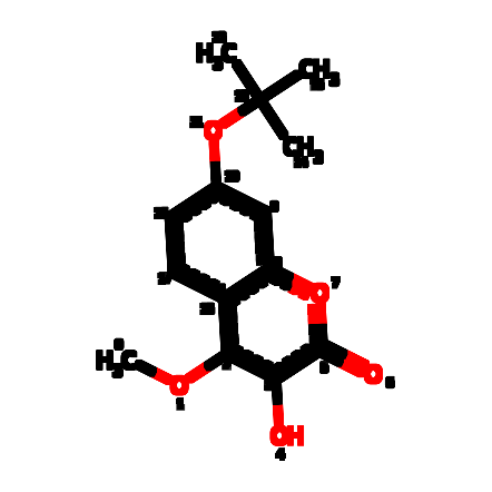 COc1c(O)c(=O)oc2cc(OC(C)(C)C)ccc12